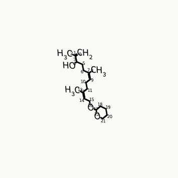 C=C(C)C(O)CCC(C)=CCCC(C)=CCOC1CCCCO1